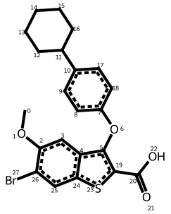 COc1cc2c(Oc3ccc(C4CCCCC4)cc3)c(C(=O)O)sc2cc1Br